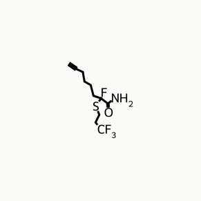 C#CCCCCC(F)(SCCC(F)(F)F)C(N)=O